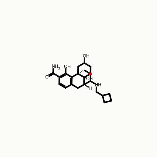 NC(=O)c1ccc2c(c1O)[C@]13CCC(NCC4CCC4)[C@H](C2)[C@]1(O)CCC(O)C3